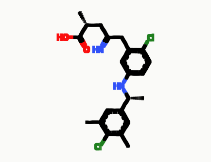 Cc1cc([C@@H](C)Nc2ccc(Cl)c(CC(=N)C[C@@H](C)C(=O)O)c2)cc(C)c1Cl